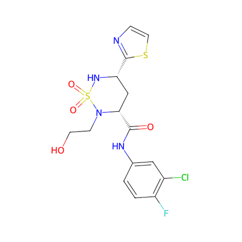 O=C(Nc1ccc(F)c(Cl)c1)[C@H]1C[C@@H](c2nccs2)NS(=O)(=O)N1CCO